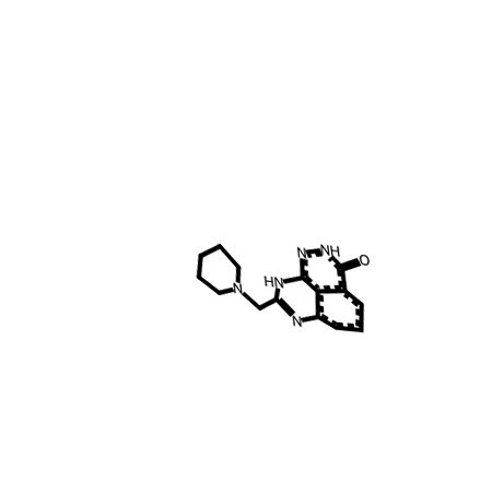 O=c1[nH]nc2c3c(cccc13)N=C(CN1CCCCC1)N2